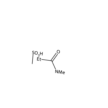 CCC(=O)NC.CS(=O)(=O)O